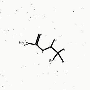 C=C(CC(C)C(C)(C)CC)C(=O)O